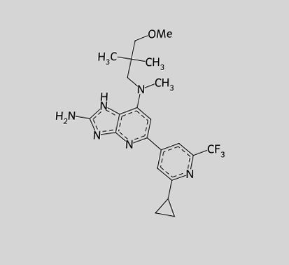 COCC(C)(C)CN(C)c1cc(-c2cc(C3CC3)nc(C(F)(F)F)c2)nc2nc(N)[nH]c12